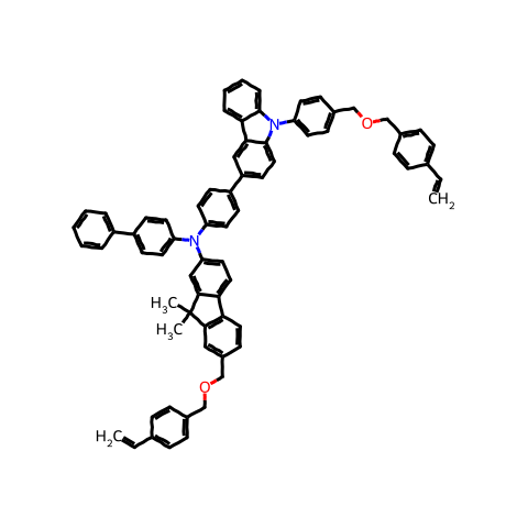 C=Cc1ccc(COCc2ccc(-n3c4ccccc4c4cc(-c5ccc(N(c6ccc(-c7ccccc7)cc6)c6ccc7c(c6)C(C)(C)c6cc(COCc8ccc(C=C)cc8)ccc6-7)cc5)ccc43)cc2)cc1